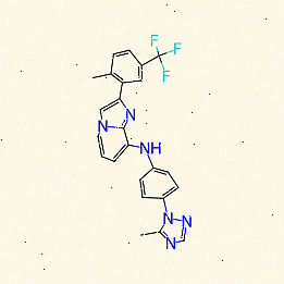 Cc1ccc(C(F)(F)F)cc1-c1cn2cccc(Nc3ccc(-n4ncnc4C)cc3)c2n1